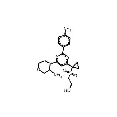 CC1COCCN1c1cc(C2(S(=O)(=O)CCO)CC2)nc(-c2ccc(N)cc2)n1